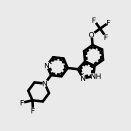 FC1(F)CCN(c2cc(-c3n[nH]c4ccc(OC(F)(F)F)cc34)ccn2)CC1